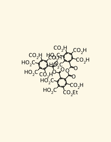 CCOC(=O)c1c(C(=O)O)c(C(=O)O)c(C(=O)OC(=O)c2c(C(=O)O)c(C(=O)O)c(C(=O)O)c(C(=O)O)c2C(=O)O)c(C(=O)OC(=O)c2c(C(=O)O)c(C(=O)O)c(C(=O)O)c(C(=O)O)c2C(=O)O)c1C(=O)O